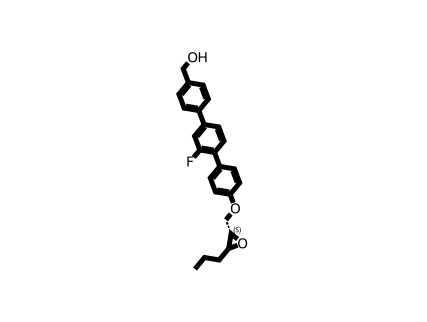 CCCC1O[C@H]1COc1ccc(-c2ccc(-c3ccc(CO)cc3)cc2F)cc1